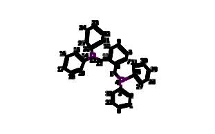 c1ccc(P(Cc2ccccc2CP(c2ccccc2)c2ccccc2)c2ccccc2)cc1